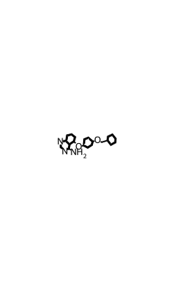 Nc1ncnc2cccc(Oc3ccc(OCc4ccccc4)cc3)c12